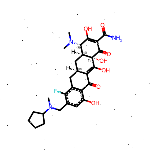 CN(Cc1cc(O)c2c(c1F)C[C@H]1C[C@H]3[C@H](N(C)C)C(O)=C(C(N)=O)C(=O)[C@@]3(O)C(O)=C1C2=O)C1CCCC1